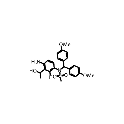 COc1ccc(C(c2ccc(OC)cc2)N(c2ccc(N)c(C(C)O)c2F)S(C)(=O)=O)cc1